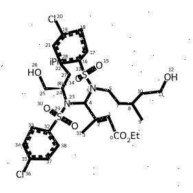 CCOC(=O)C=C(C)C(N(CCC(C)CCO)S(=O)(=O)c1ccc(Cl)cc1)N([C@@H](CO)CC(C)C)S(=O)(=O)c1ccc(Cl)cc1